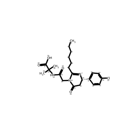 CCCCCCC1=N[C@H](c2ccc(Cl)cc2)CC(=O)N1CC(=O)NC(C)(C)C(=O)O